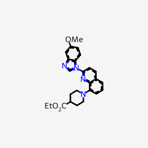 CCOC(=O)C1CCN(c2cccc3ccc(-n4cnc5cc(OC)ccc54)nc23)CC1